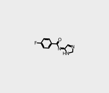 O=C(N=C1C=NCN1)c1ccc(F)cc1